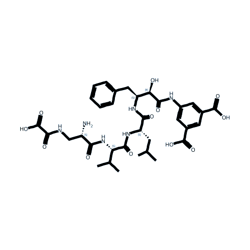 CC(C)C[C@H](NC(=O)[C@@H](NC(=O)[C@@H](N)CNC(=O)C(=O)O)C(C)C)C(=O)N[C@@H](Cc1ccccc1)[C@@H](O)C(=O)Nc1cc(C(=O)O)cc(C(=O)O)c1